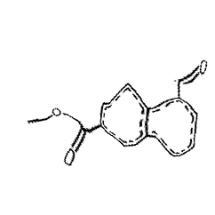 COC(=O)c1ccc2c([C]=O)cccc2c1